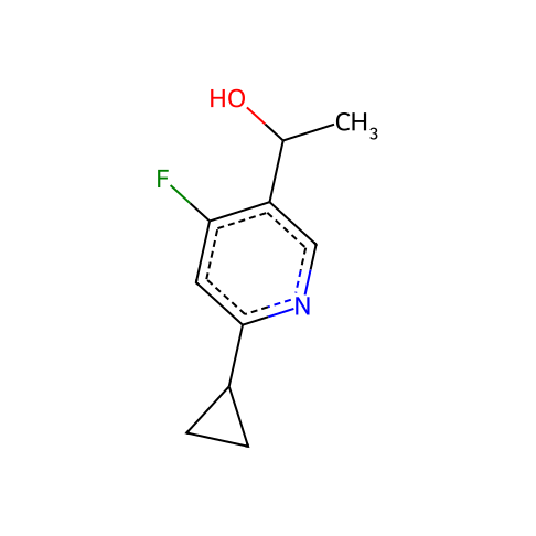 CC(O)c1cnc(C2CC2)cc1F